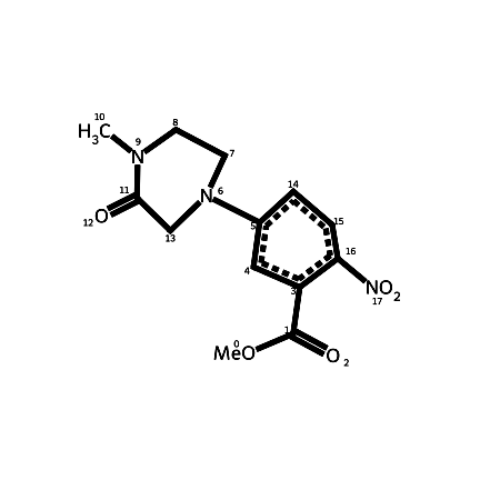 COC(=O)c1cc(N2CCN(C)C(=O)C2)ccc1[N+](=O)[O-]